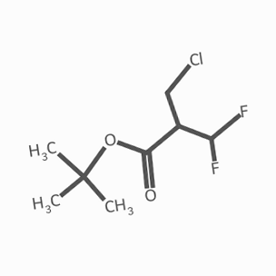 CC(C)(C)OC(=O)C(CCl)C(F)F